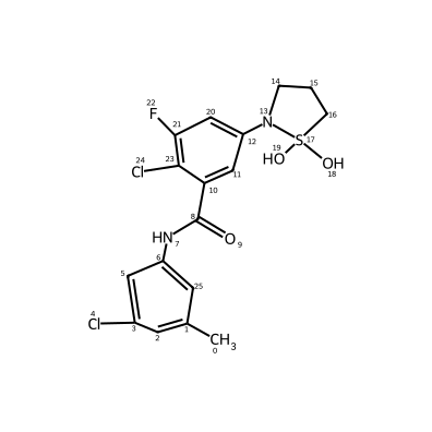 Cc1cc(Cl)cc(NC(=O)c2cc(N3CCCS3(O)O)cc(F)c2Cl)c1